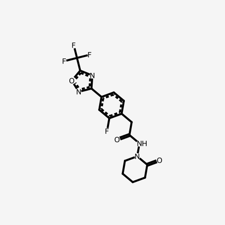 O=C(Cc1ccc(-c2noc(C(F)(F)F)n2)cc1F)NN1CCCCC1=O